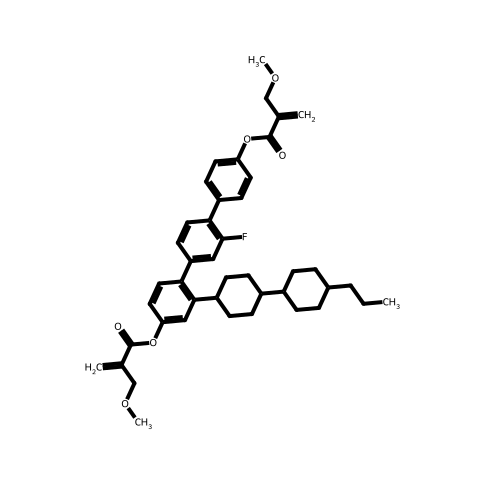 C=C(COC)C(=O)Oc1ccc(-c2ccc(-c3ccc(OC(=O)C(=C)COC)cc3C3CCC(C4CCC(CCC)CC4)CC3)cc2F)cc1